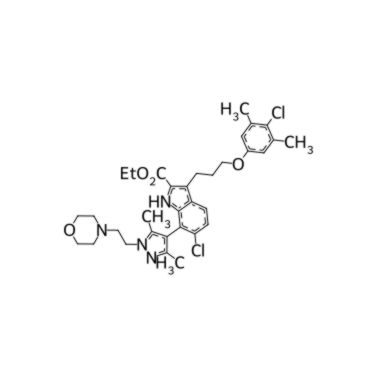 CCOC(=O)c1[nH]c2c(-c3c(C)nn(CCN4CCOCC4)c3C)c(Cl)ccc2c1CCCOc1cc(C)c(Cl)c(C)c1